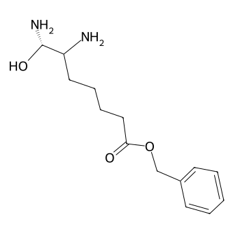 NC(CCCCC(=O)OCc1ccccc1)[C@@H](N)O